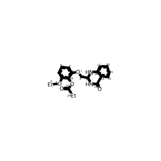 CCOc1cccc(OCC2NC(=O)c3ccccc3N2)c1OC(=O)CC